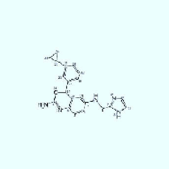 NC1=Nc2ccc(NCc3ncc[nH]3)cc2C(c2cccc(C3CC3)c2)O1